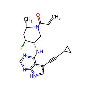 C=CC(=O)N1C[C@H](Nc2ncnc3[nH]cc(C#CC4CC4)c23)[C@@H](F)C[C@@H]1C